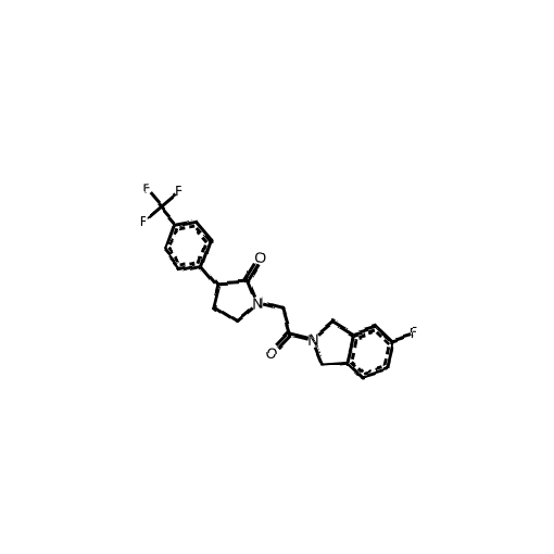 O=C(CN1CCC(c2ccc(C(F)(F)F)cc2)C1=O)N1Cc2ccc(F)cc2C1